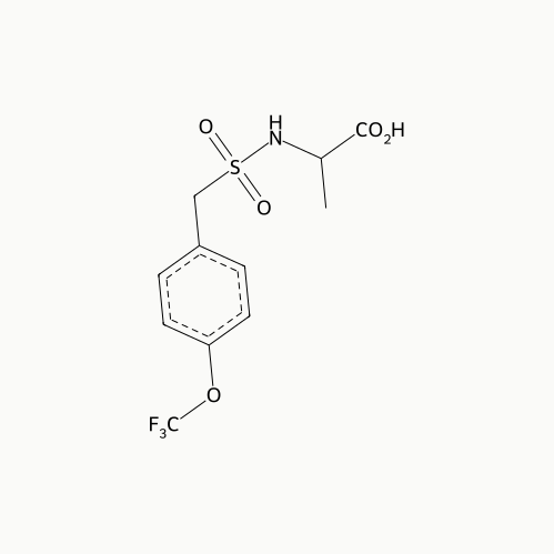 CC(NS(=O)(=O)Cc1ccc(OC(F)(F)F)cc1)C(=O)O